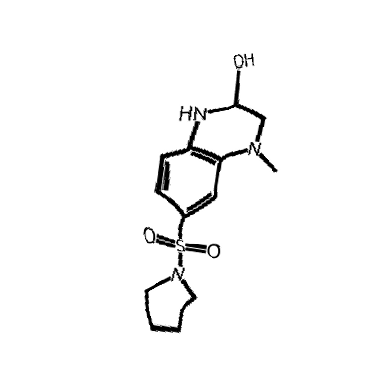 CN1CC(O)Nc2ccc(S(=O)(=O)N3CCCC3)cc21